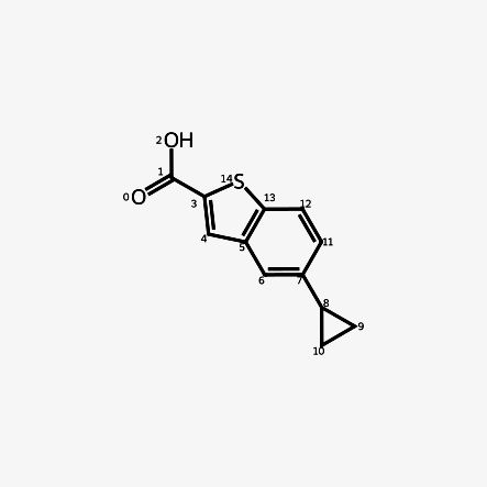 O=C(O)c1cc2cc(C3CC3)ccc2s1